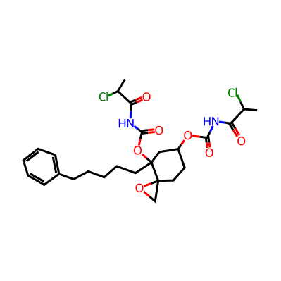 CC(Cl)C(=O)NC(=O)OC1CCC2(CO2)C(CCCCCc2ccccc2)(OC(=O)NC(=O)C(C)Cl)C1